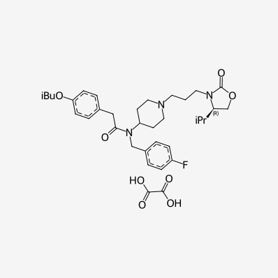 CC(C)COc1ccc(CC(=O)N(Cc2ccc(F)cc2)C2CCN(CCCN3C(=O)OC[C@H]3C(C)C)CC2)cc1.O=C(O)C(=O)O